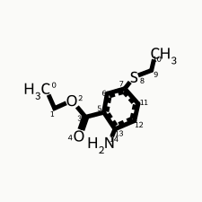 CCOC(=O)c1cc(SCC)ccc1N